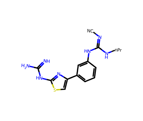 CCCN/C(=N/C#N)Nc1cccc(-c2csc(NC(=N)N)n2)c1